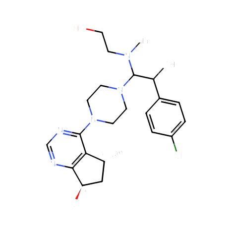 CC(C)N(CCO)C(C(C=O)c1ccc(Cl)cc1)N1CCN(c2ncnc3c2[C@H](C)C[C@H]3O)CC1